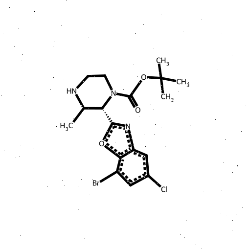 CC1NCCN(C(=O)OC(C)(C)C)[C@@H]1c1nc2cc(Cl)cc(Br)c2o1